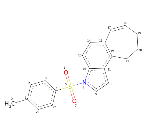 Cc1ccc(S(=O)(=O)n2ccc3c4c(ccc32)C=CCCC4)cc1